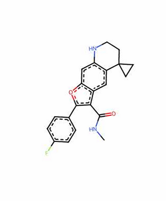 CNC(=O)c1c(-c2ccc(F)cc2)oc2cc3c(cc12)C1(CCN3)CC1